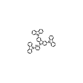 c1cc(-n2c3ccccc3c3ccccc32)nc(-n2c3ccc(-n4c5ccccc5c5ccccc54)cc3c3cc(-n4c5ccccc5c5ccccc54)ccc32)c1